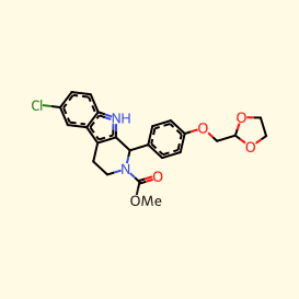 COC(=O)N1CCc2c([nH]c3ccc(Cl)cc23)C1c1ccc(OCC2OCCO2)cc1